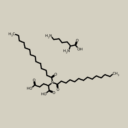 CCCCCCCCCCCCCC(=O)N(C(=O)CCCCCCCCCCCCC)C(CCC(=O)O)C(=O)O.NCCCCC(N)C(=O)O